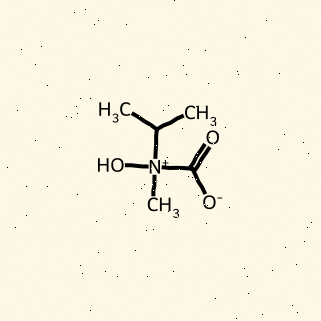 CC(C)[N+](C)(O)C(=O)[O-]